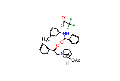 CC(=O)O[C@H]1C[N+]2(CC(=O)c3ccccc3)CCC1CC2.Cc1cccc(NC(=O)c2ccccc2)c1.O=C([O-])C(F)(F)F